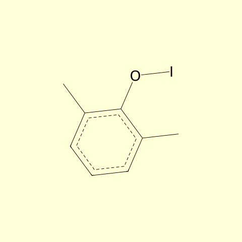 Cc1cccc(C)c1OI